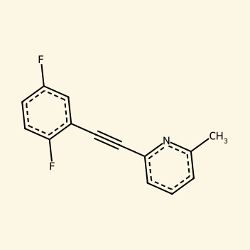 Cc1cccc(C#Cc2cc(F)ccc2F)n1